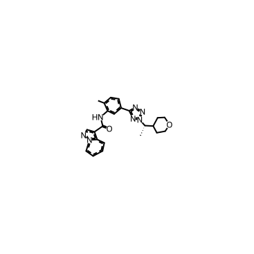 Cc1ccc(-c2nnn([C@@H](C)C3CCOCC3)n2)cc1NC(=O)c1cnn2ccccc12